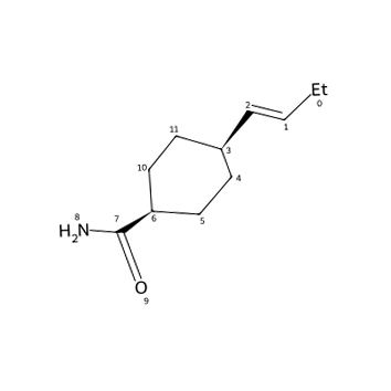 CC/C=C/[C@H]1CC[C@@H](C(N)=O)CC1